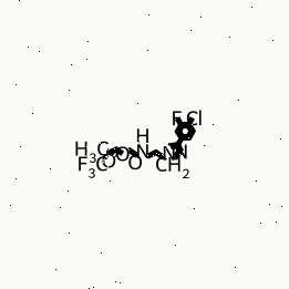 C=C(CCNC(=O)COC[C@H](C)OC(F)(F)F)n1cnc(-c2ccc(Cl)c(F)c2)c1